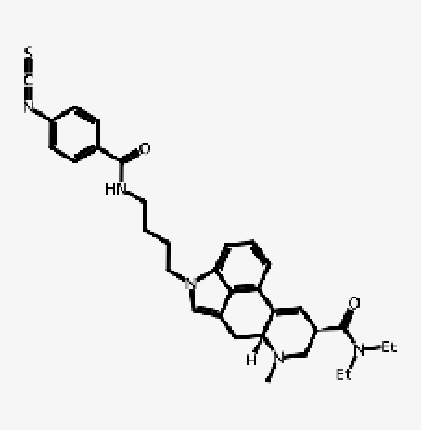 CCN(CC)C(=O)[C@@H]1C=C2c3cccc4c3c(cn4CCCCNC(=O)c3ccc(N=C=S)cc3)C[C@H]2N(C)C1